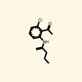 C=C(CCC)Nc1cccc(Cl)c1C(C)=O